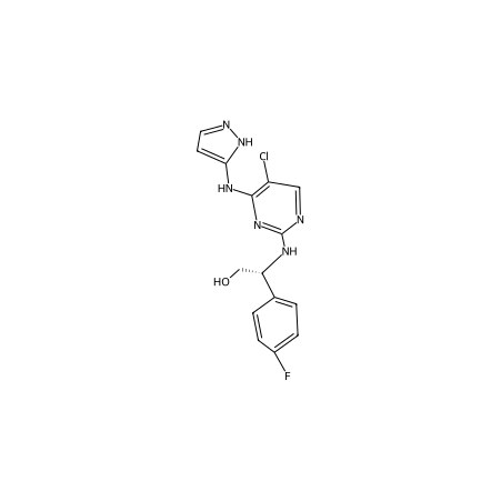 OC[C@H](Nc1ncc(Cl)c(Nc2ccn[nH]2)n1)c1ccc(F)cc1